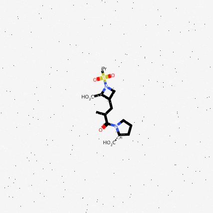 CC(CC1CN(S(=O)(=O)C(C)C)C1C(=O)O)C(=O)N1CCC[C@@H]1C(=O)O